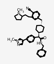 CN1CCCC1CCc1cc(C[C@H]2CC[C@H](C(C(=O)NCc3ccccc3)c3ccc(-c4cnn(C)c4)cc3)CC2)ccc1C#N